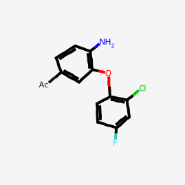 CC(=O)c1ccc(N)c(Oc2ccc(F)cc2Cl)c1